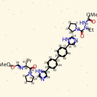 CCN(NC(=O)OC)C(=O)N1CCC[C@H]1c1ncc(-c2ccc(-c3ccc(-c4cnc([C@@H]5CCCN5C(=O)[C@@H](/N=C/OOC)C(C)C)[nH]4)cc3)cc2)[nH]1